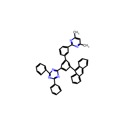 Cc1cc(C)nc(-c2cccc(-c3cc(-c4nc(-c5ccccc5)nc(-c5ccccc5)n4)cc(-c4c5ccccc5cc5ccccc45)c3)c2)n1